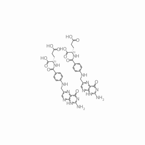 Nc1nc(=O)c2nc(CNc3ccc(C(=O)N[C@@H](CCC(=O)O)C(=O)O)cc3)cnc2[nH]1.Nc1nc(=O)c2nc(CNc3ccc(C(=O)N[C@@H](CCC(=O)O)C(=O)O)cc3)cnc2[nH]1